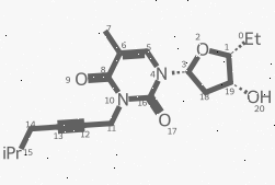 CC[C@H]1O[C@@H](n2cc(C)c(=O)n(CC#CCC(C)C)c2=O)C[C@H]1O